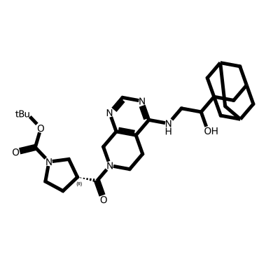 CC(C)(C)OC(=O)N1CC[C@@H](C(=O)N2CCc3c(ncnc3NCC(O)C34CC5CC(CC(C5)C3)C4)C2)C1